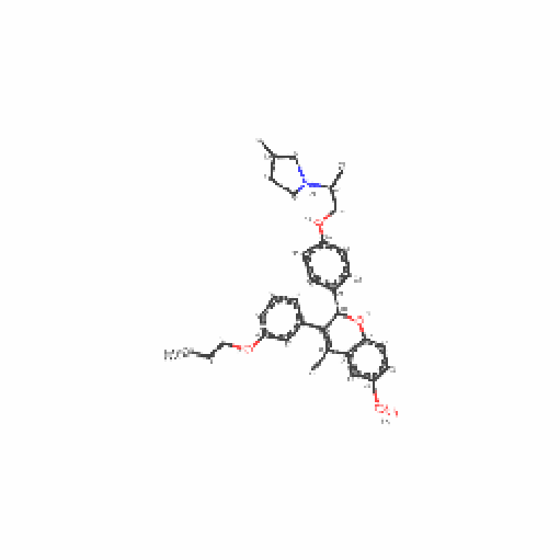 COCCOc1cccc(C2=C(C)c3cc(O)ccc3OC2c2ccc(OCC(C)N3CCC(C)C3)cc2)c1